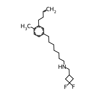 C=CCCc1cc(CCCCCCCNCC2CC(F)(F)C2)ccc1C